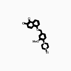 CCN1CCN(c2ccc(COc3cccc4c(Cl)c(Cl)ccc34)cc2OC)CC1